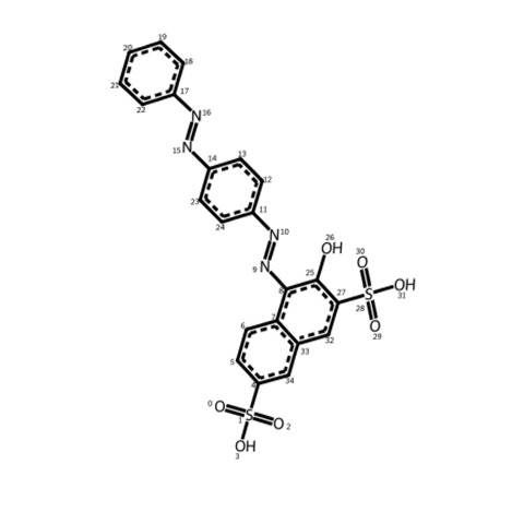 O=S(=O)(O)c1ccc2c(N=Nc3ccc(N=Nc4ccccc4)cc3)c(O)c(S(=O)(=O)O)cc2c1